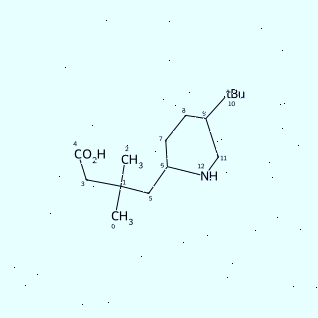 CC(C)(CC(=O)O)CC1CCC(C(C)(C)C)CN1